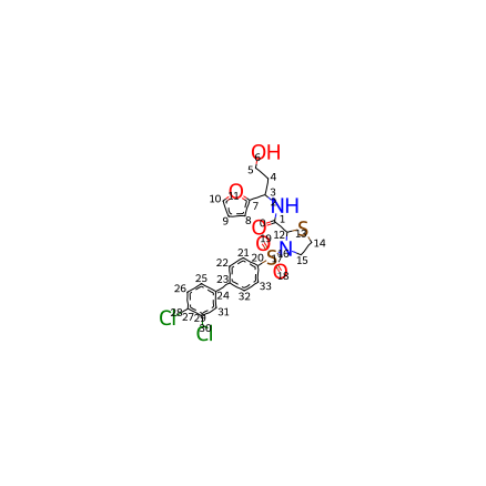 O=C(NC(CCO)c1ccco1)C1SCCN1S(=O)(=O)c1ccc(-c2ccc(Cl)c(Cl)c2)cc1